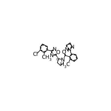 Cc1cccc(-n2nccn2)c1C(=O)N1CCC[C@H]1c1nc(-c2cccc(Cl)c2C)no1